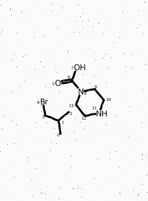 CC(C)CBr.O=C(O)N1CCNCC1